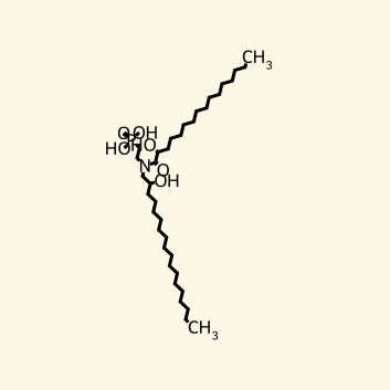 CCCCCCCCCCCCCCCCC(O)CN(CCP(=O)(O)O)C(=O)C(O)CCCCCCCCCCCCCC